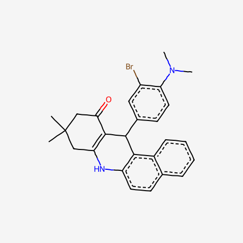 CN(C)c1ccc(C2C3=C(CC(C)(C)CC3=O)Nc3ccc4ccccc4c32)cc1Br